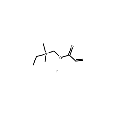 C=CC(=O)OC[N+](C)(C)CC.[I-]